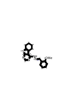 COc1ccccc1/C=N/Nc1ncnc2sc3c(c12)CCCC3